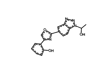 CC(O)n1nnc2cc(-c3nc(-c4ccccc4O)co3)ccc21